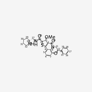 COC1c2c(c3ccccc3n(CC(=O)c3ccccc3)c2=O)SC1C(=O)NC[C@H]1CCCCN1